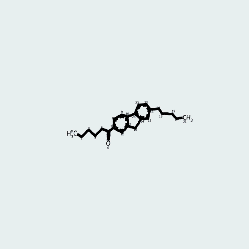 CCCCCC(=O)c1ccc2c(c1)Cc1cc(CCCCC)ccc1-2